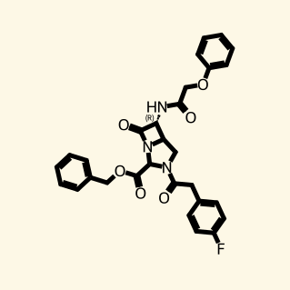 O=C(COc1ccccc1)N[C@H]1C(=O)N2C1CN(C(=O)Cc1ccc(F)cc1)C2C(=O)OCc1ccccc1